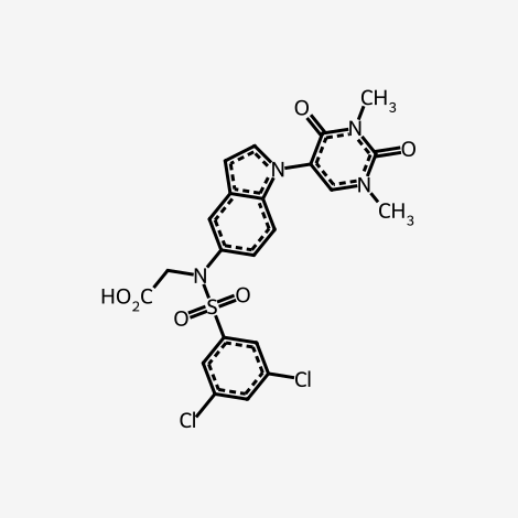 Cn1cc(-n2ccc3cc(N(CC(=O)O)S(=O)(=O)c4cc(Cl)cc(Cl)c4)ccc32)c(=O)n(C)c1=O